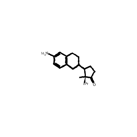 CCC[C@]1(C)C(=O)CCC1C1CCc2cc(N)ccc2C1